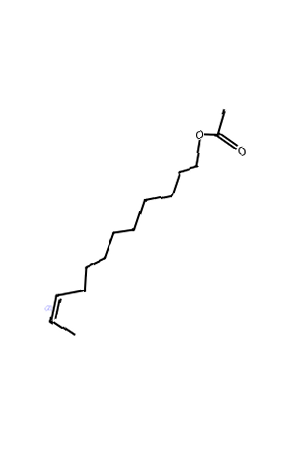 C/C=C\CCCCCCCCCOC(C)=O